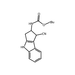 CC(C)(C)OC(=O)NC1Cc2[nH]c3ccccc3c2C1C#N